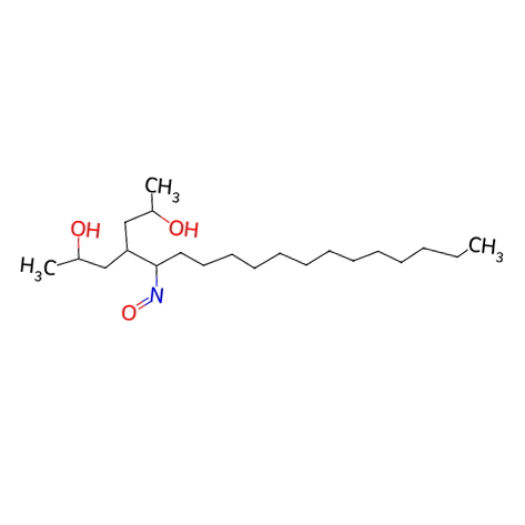 CCCCCCCCCCCCCC(N=O)C(CC(C)O)CC(C)O